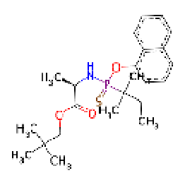 CCC(C)(C)P(=S)(N[C@H](C)C(=O)OCC(C)(C)C)Oc1cccc2ccccc12